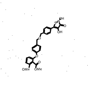 COC(=O)c1c(OC)cccc1Oc1ccc(COCc2ccc(-c3sn(O)c(=O)c3O)cc2)cc1